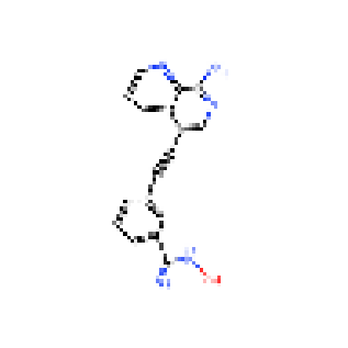 N=C(NO)c1cccc(C#Cc2cnc(N)c3ncccc23)c1